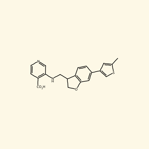 Cc1cc(-c2ccc3c(c2)OCC3CNc2cnccc2C(=O)O)cs1